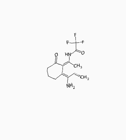 C=C/C(N)=C1/CCCC(=O)/C1=C(/C)NC(=O)C(F)(F)F